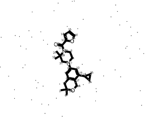 CC1(C)Cc2cc(N3CCN(C(=O)c4ccco4)C(C)(C)C3)cc(C3CC3)c2CO1